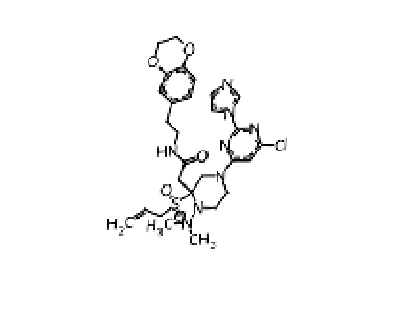 C=CCS(=O)(=O)C1(CC(=O)NCCc2ccc3c(c2)OCCO3)CN(c2cc(Cl)nc(-n3ccnc3)n2)CCN1N(C)C